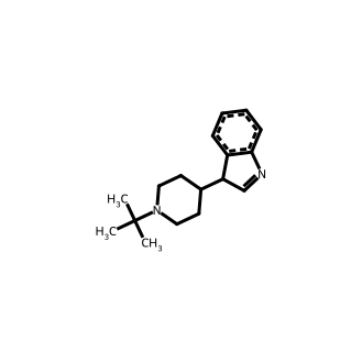 CC(C)(C)N1CCC(C2C=Nc3ccccc32)CC1